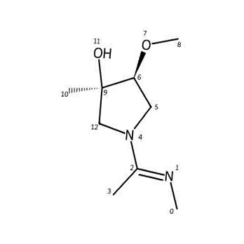 C/N=C(\C)N1C[C@H](OC)[C@](C)(O)C1